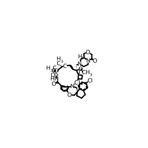 CO[C@]1(CN2CCN3C(=O)COC[C@@H]3C2)/C=C/C[C@H](C)[C@@H](C)S(=O)(=O)NC(=O)c2ccc3c(c2)N(C[C@@H]2CC[C@H]21)C[C@@]1(CCCc2cc(Cl)ccc21)CO3